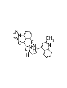 Cc1cc(C2CC[C@@H]3CC(C(=O)c4c(F)cccc4-n4nccn4)N3N2)c2ccccc2n1